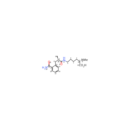 CN[C@@H](CCCCNC(=O)[C@H](C)Cc1ccccc1C(N)=O)C(=O)O